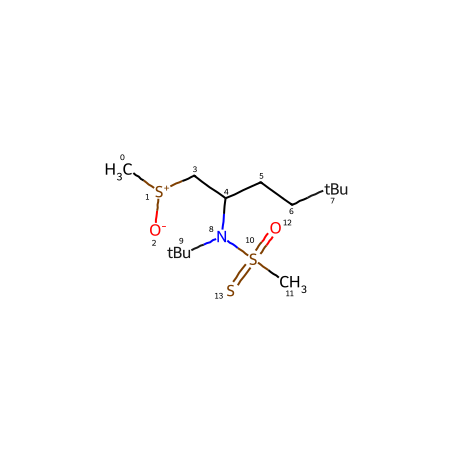 C[S+]([O-])CC(CCC(C)(C)C)N(C(C)(C)C)S(C)(=O)=S